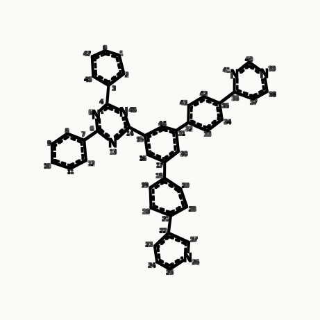 c1ccc(-c2nc(-c3ccccc3)nc(-c3cc(-c4ccc(-c5cccnc5)cc4)cc(-c4ccc(-c5ccncn5)cc4)c3)n2)cc1